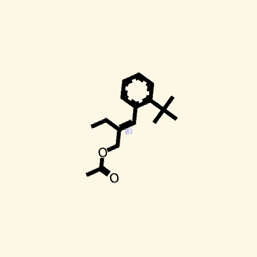 CC/C(=C\c1ccccc1C(C)(C)C)COC(C)=O